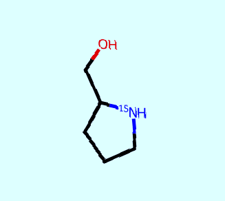 OCC1CCC[15NH]1